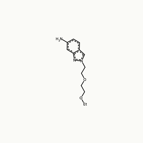 CCOCCOCCn1cc2ccc(N)cc2n1